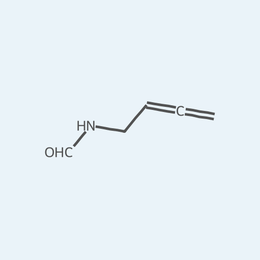 C=C=CCNC=O